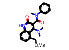 COCc1cccc2[nH]c(=O)c(C(=O)N(C)c3ccccc3)c(N(C)C)c12